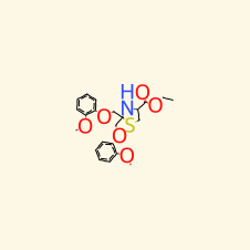 CCOC(=O)C1CSC(COc2ccccc2OC)(COc2ccccc2OC)N1